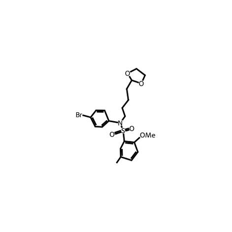 COc1ccc(C)cc1S(=O)(=O)N(CCCCC1OCCO1)c1ccc(Br)cc1